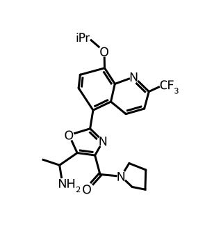 CC(C)Oc1ccc(-c2nc(C(=O)N3CCCC3)c(C(C)N)o2)c2ccc(C(F)(F)F)nc12